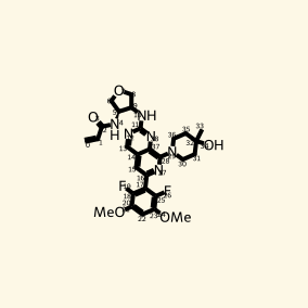 C=CC(=O)N[C@H]1COCC1Nc1ncc2cc(-c3c(F)c(OC)cc(OC)c3F)nc(N3CCC(C)(O)CC3)c2n1